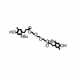 CCCCc1cc(O)c(C)cc1CCC(=O)OCCOCCOCCOC(=O)CCc1cc(C)c(O)cc1CCCC